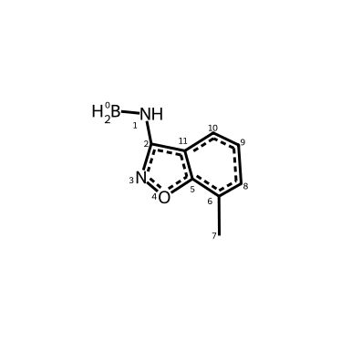 BNc1noc2c(C)cccc12